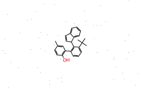 Cc1ccc(O)c(-c2cccc(C(C)(C)C)c2C2C=Cc3ccccc32)c1